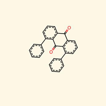 O=C1c2cccc(-c3ccccc3)c2C(=O)c2c1cccc2-c1ccccc1